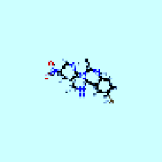 Cc1nc(N[C@H](C)c2cncc([N+](=O)[O-])c2)c2cc(Br)ccc2n1